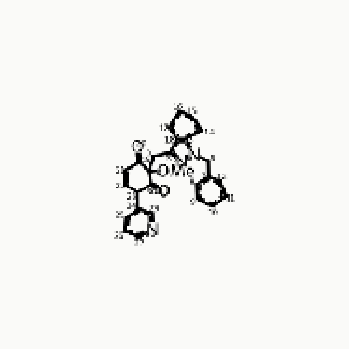 COC1(Cc2nn(Cc3ccccc3)c3ccccc23)C(=O)C=CC(c2cccnc2)C1=O